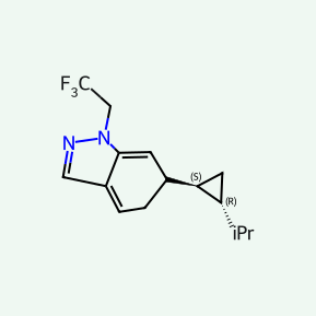 CC(C)[C@H]1C[C@@H]1C1C=c2c(cnn2CC(F)(F)F)=CC1